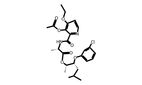 CCOc1ccnc(C(=O)N[C@@H](C)C(=O)O[C@@H](C)[C@@H](CC(C)C)Oc2cccc(Cl)c2)c1OC(C)=O